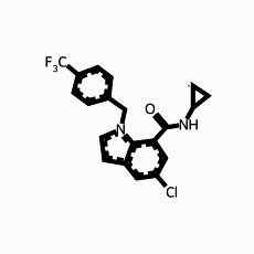 O=C(NC1[CH]C1)c1cc(Cl)cc2ccn(Cc3ccc(C(F)(F)F)cc3)c12